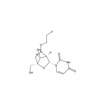 O=c1ccn([C@@H]2O[C@@]3(CO)CN(OCCF)[C@@H]2[C@@H]3O)c(=O)[nH]1